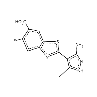 Cc1[nH]nc(N)c1-c1nc2cc(F)c(C(=O)O)cc2s1